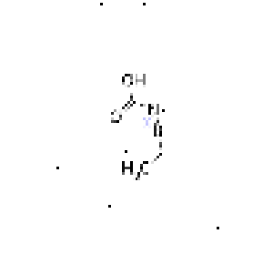 CC/B=N/C(=O)O